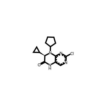 O=C1Nc2cnc(Cl)nc2N(C2CCCC2)[C@@H]1C1CC1